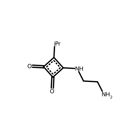 CC(C)c1c(NCCN)c(=O)c1=O